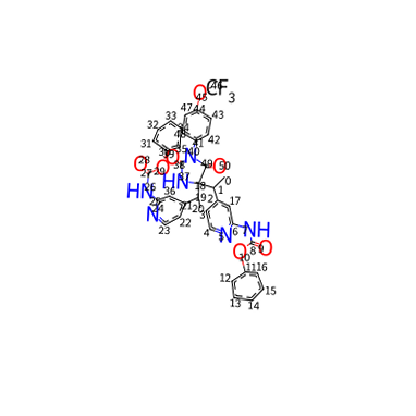 CC(c1ccnc(NC(=O)Oc2ccccc2)c1)C1(C(C)c2ccnc(NC(=O)Oc3ccccc3)c2)NC(=O)N(c2ccc(OC(F)(F)F)cc2)C1=O